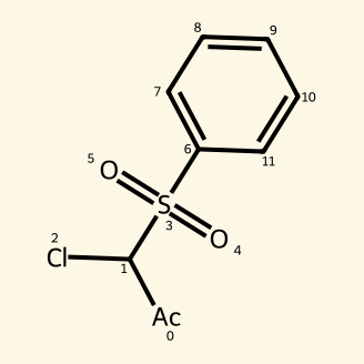 CC(=O)C(Cl)S(=O)(=O)c1ccccc1